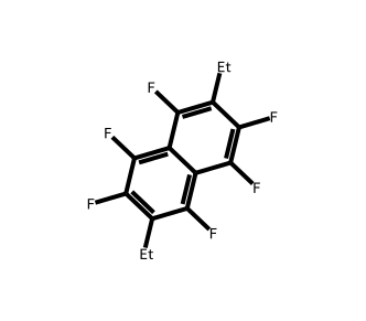 CCc1c(F)c(F)c2c(F)c(CC)c(F)c(F)c2c1F